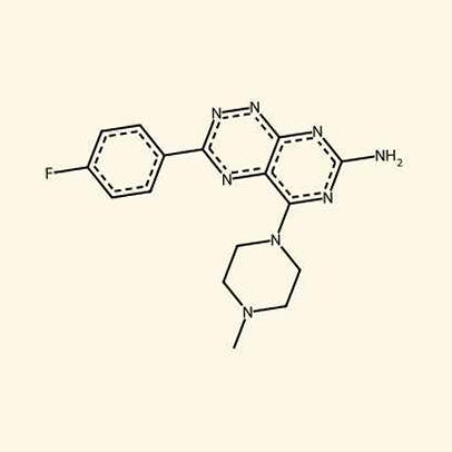 CN1CCN(c2nc(N)nc3nnc(-c4ccc(F)cc4)nc23)CC1